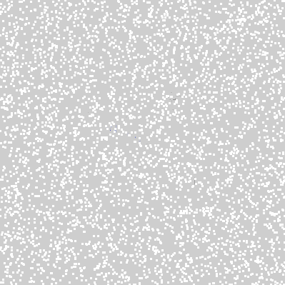 Cc1cccc(C(/N=C/c2ccccn2)c2cccc(C)c2)c1